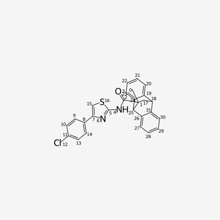 CC1(C(=O)Nc2nc(-c3ccc(Cl)cc3)cs2)CC2c3ccccc3C1c1ccccc12